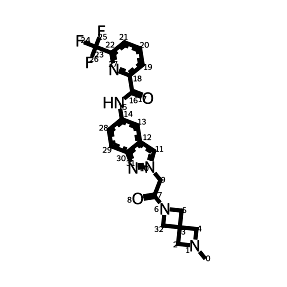 CN1CC2(C1)CN(C(=O)Cn1cc3cc(NC(=O)c4cccc(C(F)(F)F)n4)ccc3n1)C2